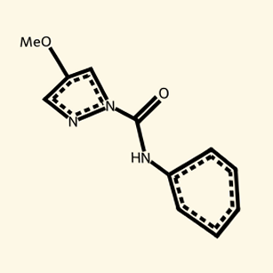 COc1cnn(C(=O)Nc2ccccc2)c1